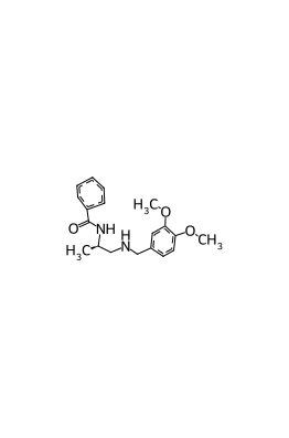 COc1ccc(CNC[C@@H](C)NC(=O)c2ccccc2)cc1OC